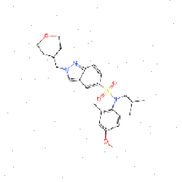 COc1ccc(N(CC(C)C)S(=O)(=O)c2ccc3nn(CC4CCOCC4)cc3c2)c(C)c1